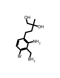 BCc1c(Br)ccc(CCC(C)(O)CO)c1N